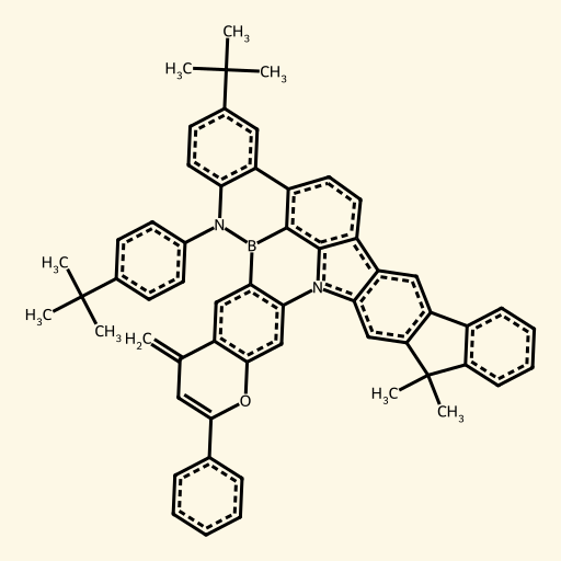 C=C1C=C(c2ccccc2)Oc2cc3c(cc21)B1c2c(ccc4c5cc6c(cc5n-3c24)C(C)(C)c2ccccc2-6)-c2cc(C(C)(C)C)ccc2N1c1ccc(C(C)(C)C)cc1